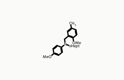 CCCCCCCN(Cc1cc(C)ccc1OC)c1ccc(OC)cc1